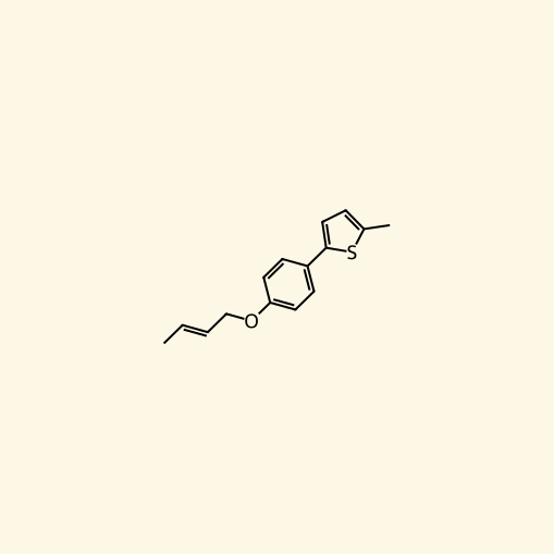 C/C=C/COc1ccc(-c2ccc(C)s2)cc1